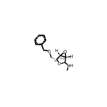 CNC1O[C@H](COCc2ccccc2)[C@@H]2O[C@H]12